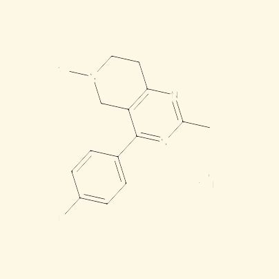 CC(=O)N1CCc2nc(C)nc(-c3ccc(F)cc3)c2C1.Cl.O